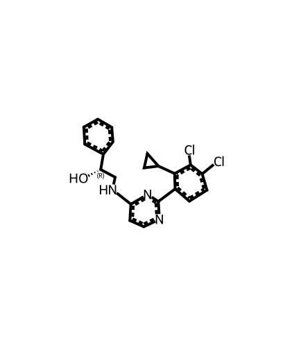 O[C@@H](CNc1ccnc(-c2ccc(Cl)c(Cl)c2C2CC2)n1)c1ccccc1